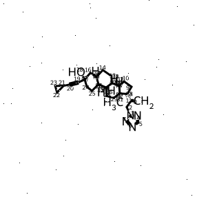 C=C(Cn1ncnn1)[C@H]1CC[C@H]2[C@@H]3CC[C@H]4C[C@@](O)(C#CC5CC5)CC[C@@H]4[C@H]3CC[C@]12C